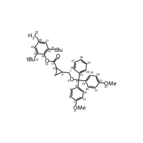 COc1ccc(C(OCC2CC2C(=O)Oc2c(C(C)(C)C)cc(C)cc2C(C)(C)C)(c2ccccc2)c2ccc(OC)cc2)cc1